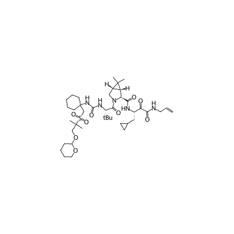 C=CCNC(=O)C(=O)[C@H](CC1CC1)NC(=O)[C@@H]1[C@@H]2[C@H](CN1C(=O)[C@@H](NC(=O)NC1(CS(=O)(=O)C(C)(C)COC3CCCCO3)CCCCC1)C(C)(C)C)C2(C)C